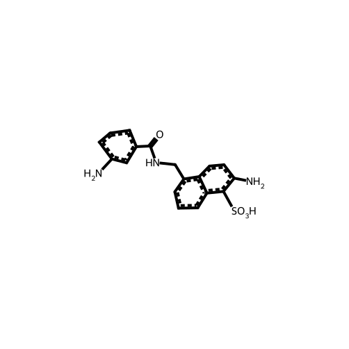 Nc1cccc(C(=O)NCc2cccc3c(S(=O)(=O)O)c(N)ccc23)c1